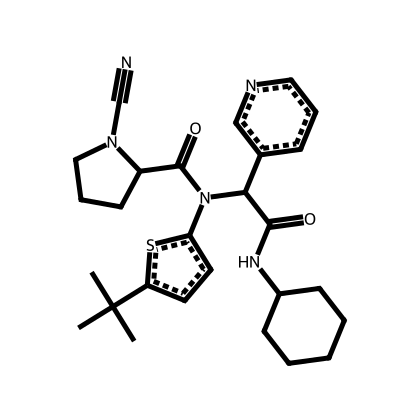 CC(C)(C)c1ccc(N(C(=O)C2CCCN2C#N)C(C(=O)NC2CCCCC2)c2cccnc2)s1